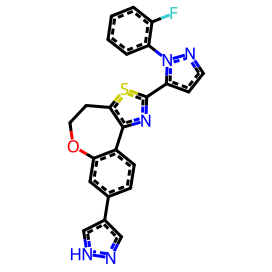 Fc1ccccc1-n1nccc1-c1nc2c(s1)CCOc1cc(-c3cn[nH]c3)ccc1-2